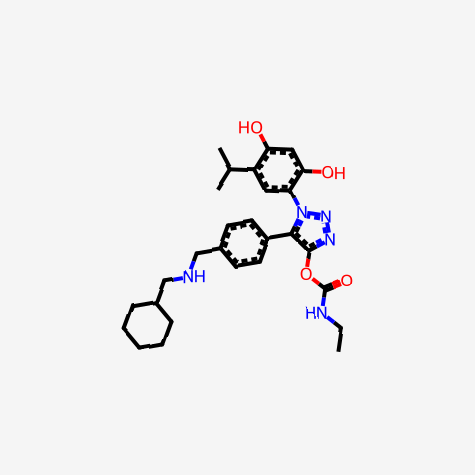 CCNC(=O)Oc1nnn(-c2cc(C(C)C)c(O)cc2O)c1-c1ccc(CNCC2CCCCC2)cc1